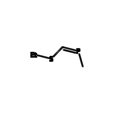 CCS/C=P\C